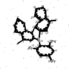 Cc1cc2c(c3ccccc13)-c1c(cc(C)c3ccccc13)B2c1c(C(C)C)cc(C(C)C)cc1C(C)C